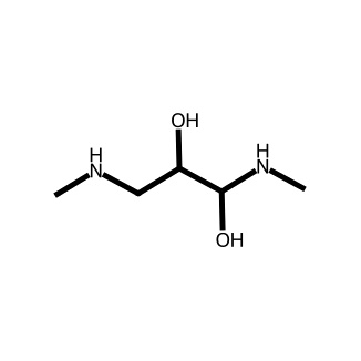 CNCC(O)C(O)NC